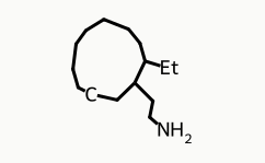 CCC1CCCCCCCCCC1CCN